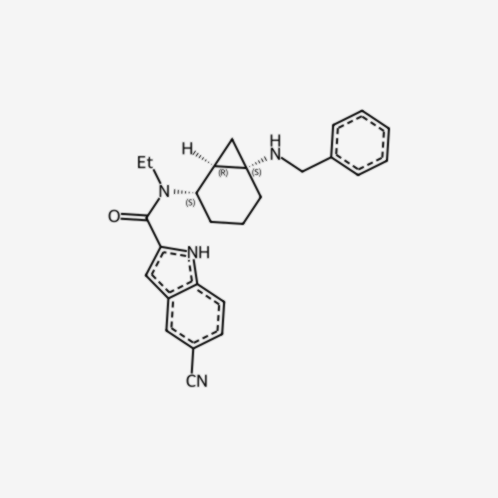 CCN(C(=O)c1cc2cc(C#N)ccc2[nH]1)[C@H]1CCC[C@]2(NCc3ccccc3)C[C@H]12